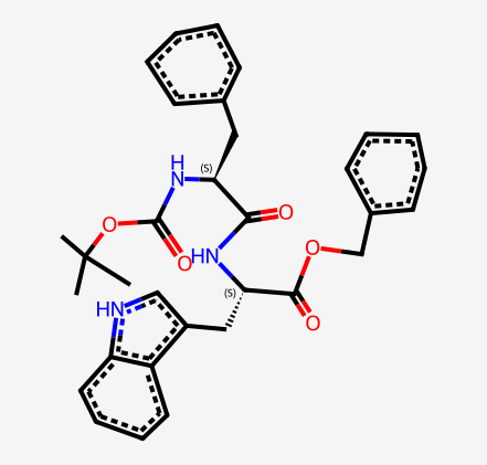 CC(C)(C)OC(=O)N[C@@H](Cc1ccccc1)C(=O)N[C@@H](Cc1c[nH]c2ccccc12)C(=O)OCc1ccccc1